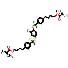 C=C(C)C(=O)OCCCCc1ccc(C(F)(F)Oc2ccc(OC(F)(F)c3ccc(CCCCOC(=O)C(=C)C)cc3)c(F)c2)cc1